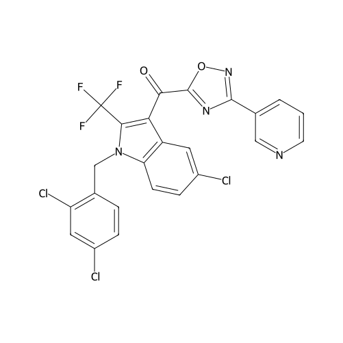 O=C(c1nc(-c2cccnc2)no1)c1c(C(F)(F)F)n(Cc2ccc(Cl)cc2Cl)c2ccc(Cl)cc12